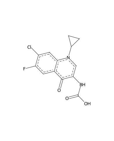 O=C(O)Bc1cn(C2CC2)c2cc(Cl)c(F)cc2c1=O